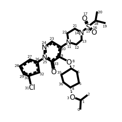 CC(C)O[C@H]1CC[C@@H](Oc2c(N3CCN(S(=O)(=O)C(C)C)CC3)cnn(-c3cccc(Cl)c3)c2=O)CC1